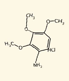 COc1ccc(N)c(OC)c1OC.Cl